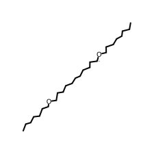 CCCCCCCCO[CH]CCCCCCCCCCOCCCCCCC